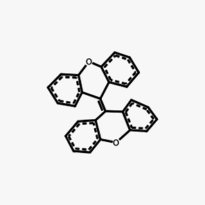 c1ccc2c(c1)Oc1ccccc1C2=C1c2ccccc2Oc2ccccc21